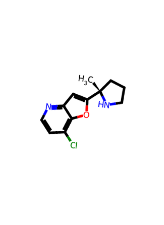 C[C@@]1(c2cc3nccc(Cl)c3o2)CCCN1